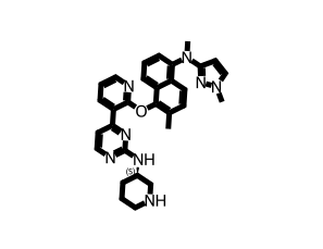 Cc1ccc2c(N(C)c3ccn(C)n3)cccc2c1Oc1ncccc1-c1ccnc(N[C@H]2CCCNC2)n1